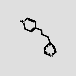 CN1C=CC(CCCc2ccncc2)=CC1